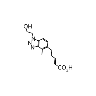 Cc1c(CC/C=C/C(=O)O)ccc2c1nnn2CCO